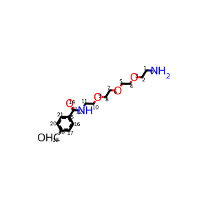 NCCOCCOCCOCCNC(=O)c1ccc(C=O)cc1